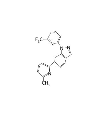 Cc1cccc(-c2ccc3cnn(-c4cccc(C(F)(F)F)n4)c3c2)n1